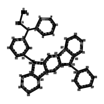 NNC(c1ccccc1)c1cccc(-n2c3ccccc3c3cc4c(cc32)c2ccccc2n4-c2ccccc2)c1